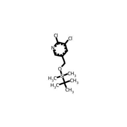 CC(C)(C)[Si](C)(C)OCc1cnc(Cl)c(Cl)c1